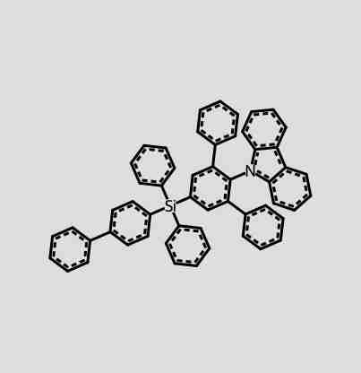 c1ccc(-c2ccc([Si](c3ccccc3)(c3ccccc3)c3cc(-c4ccccc4)c(-n4c5ccccc5c5ccccc54)c(-c4ccccc4)c3)cc2)cc1